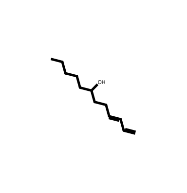 C=CC=CCCC(O)CCCCC